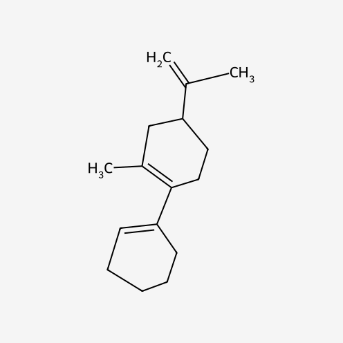 C=C(C)C1CCC(C2=CCCCC2)=C(C)C1